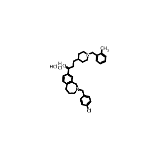 Cc1ccccc1CN1CCC(CCC(=O)c2ccc3c(c2)CN(Cc2ccc(Cl)cc2)CCC3)CC1.Cl.Cl